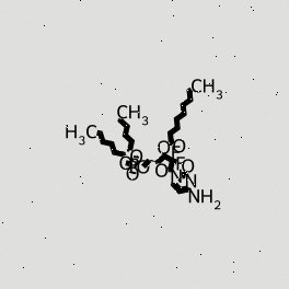 CCCCCCCCC(=O)O[C@@H]1[C@@H](COP(=O)(OCCCCCC)OCCCCCC)O[C@@H](n2ccc(N)nc2=O)C1(F)F